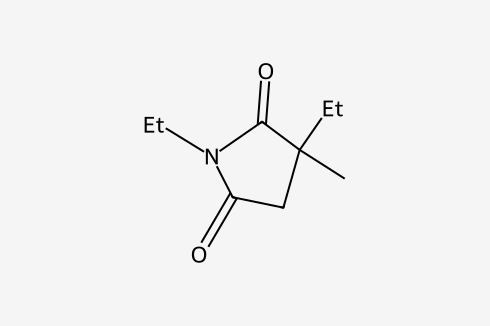 CCN1C(=O)CC(C)(CC)C1=O